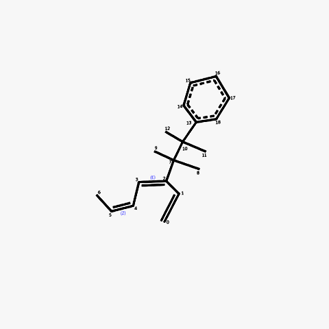 C=C/C(=C\C=C/C)C(C)(C)C(C)(C)c1ccccc1